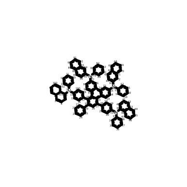 C1=CC2C=CC=C(N(c3ccccc3)c3ccc(-c4c(-c5ccccc5)cc(-c5ccc(N(c6ccccc6)c6cccc7ccccc67)cc5)c5c6ccc(N(c7ccccc7)c7ccc8ccccc8c7)cc6c6cc(N(c7ccccc7)c7ccc8ccccc8c7)ccc6c45)cc3)C2C=C1